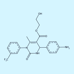 CC1=C(C(=O)OCCO)C(c2ccc(N)cc2)NC(=O)N1c1cccc(C(F)(F)F)c1